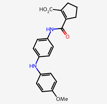 COc1ccc(Nc2ccc(NC(=O)C3=C(C(=O)O)CCC3)cc2)cc1